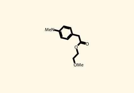 CNc1ccc(CC(=O)OCCOC)cc1